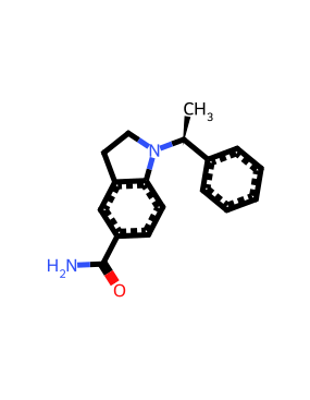 C[C@@H](c1ccccc1)N1CCc2cc(C(N)=O)ccc21